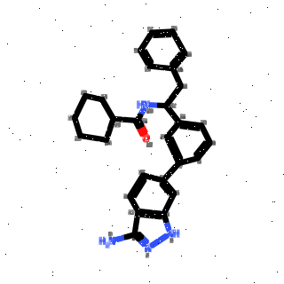 Nc1n[nH]c2cc(-c3cccc(C(Cc4ccccc4)NC(=O)C4CCCCC4)c3)ccc12